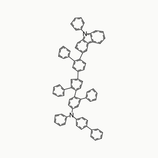 c1ccc(-c2ccc(N(c3ccccc3)c3ccc(-c4ccc(-c5ccc(-c6ccc7c(c6)c6ccccc6n7-c6ccccc6)c(-c6ccccc6)c5)cc4-c4ccccc4)c(-c4ccccc4)c3)cc2)cc1